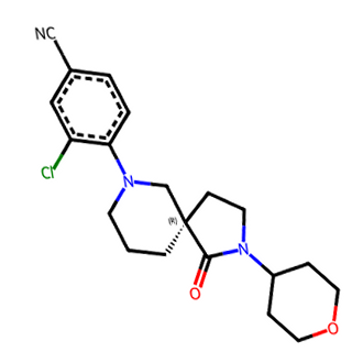 N#Cc1ccc(N2CCC[C@@]3(CCN(C4CCOCC4)C3=O)C2)c(Cl)c1